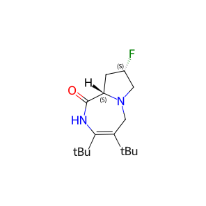 CC(C)(C)C1=C(C(C)(C)C)NC(=O)[C@@H]2C[C@H](F)CN2C1